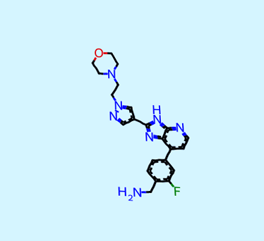 NCc1ccc(-c2ccnc3[nH]c(-c4cnn(CCN5CCOCC5)c4)nc23)cc1F